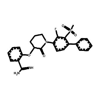 CS(=O)(=O)c1c(-c2ccccc2)ccc(N2CCCC(Oc3ccccc3C(=N)N)C2=O)c1F